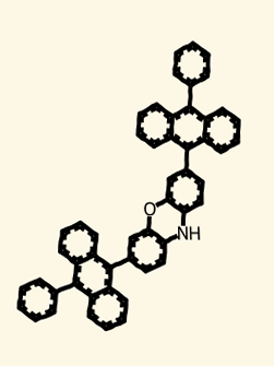 c1ccc(-c2c3ccccc3c(-c3ccc4c(c3)Oc3cc(-c5c6ccccc6c(-c6ccccc6)c6ccccc56)ccc3N4)c3ccccc23)cc1